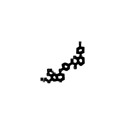 COc1cc2nccc(Oc3ccc(NC(=O)c4cccn(-c5ccc(F)cc5)c4=O)cc3)c2nc1OC